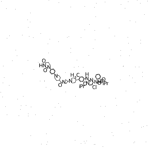 Cc1cc(Nc2ncc(Cl)c(Nc3ccccc3S(=O)(=O)C(C)C)n2)c(OC(C)C)cc1C1CCN(C2CN(C(=O)C3CCN(c4ccc(N5CCC(=O)NC5=O)cc4)CC3)C2)CC1